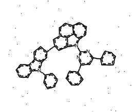 c1ccc(-c2cc(-c3ccccc3)nc(-n3c4cccc5ccc6cc(-c7ccc8c9ccccc9n(-c9ccccc9)c8c7)cc3c6c54)n2)cc1